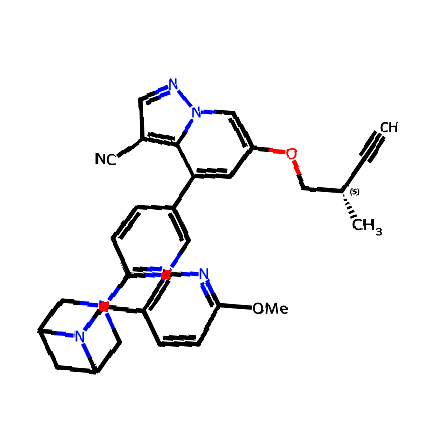 C#C[C@H](C)COc1cc(-c2ccc(N3CC4CC(C3)N4Cc3ccc(OC)nc3)nc2)c2c(C#N)cnn2c1